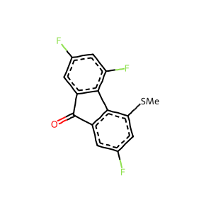 CSc1cc(F)cc2c1-c1c(F)cc(F)cc1C2=O